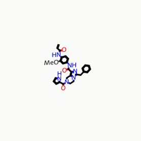 C=CC(=O)Nc1ccc(NC(=O)c2nc(Cc3ccccc3)n3c2CN(C(=O)c2ccc[nH]2)CC3)cc1OC